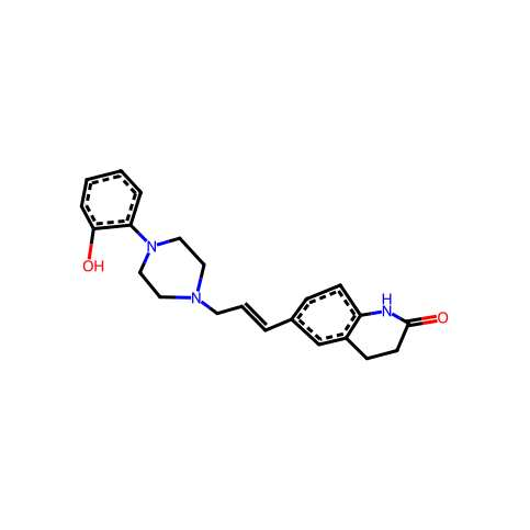 O=C1CCc2cc(C=CCN3CCN(c4ccccc4O)CC3)ccc2N1